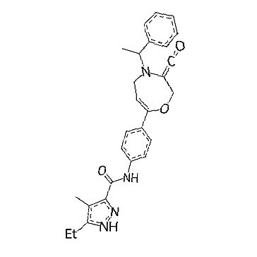 CCc1[nH]nc(C(=O)Nc2ccc(C3=CCN(C(C)c4ccccc4)C(=C=O)CO3)cc2)c1C